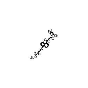 CC(C)(C)OC(=O)NCCCOc1cccc2c(C(=O)NCC(=O)N3CC(F)(F)C[C@H]3C#N)ccnc12